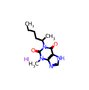 CCCCC(C)n1c(=O)c2[nH]cnc2n(C)c1=O.I